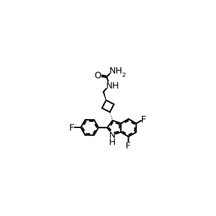 NC(=O)NC[C@H]1C[C@H](c2c(-c3ccc(F)cc3)[nH]c3c(F)cc(F)cc32)C1